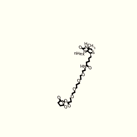 CCCCCCN1C(=O)NC2(C)CS[C@@H](CCCCC(=O)NCCOCCOCCCOCCOCCC(=O)ON3C(=O)CCC3=O)C12